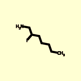 CCCCCC(I)CN